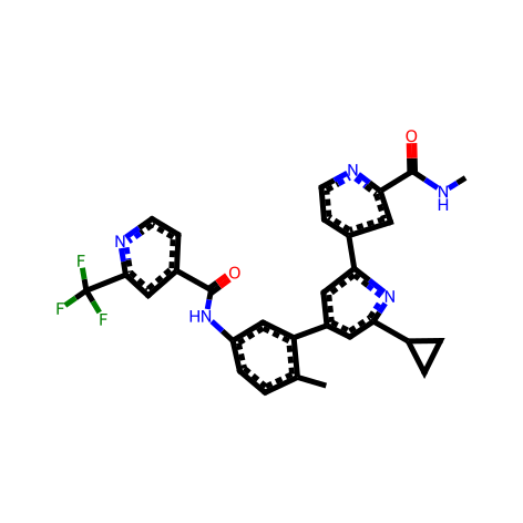 CNC(=O)c1cc(-c2cc(-c3cc(NC(=O)c4ccnc(C(F)(F)F)c4)ccc3C)cc(C3CC3)n2)ccn1